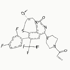 C=CC(=O)N1CCN(c2nc(=O)n3c4c(c(-c5ccc(F)cc5F)c(C(F)(F)F)cc24)SC[C@H](OC)C3)CC1